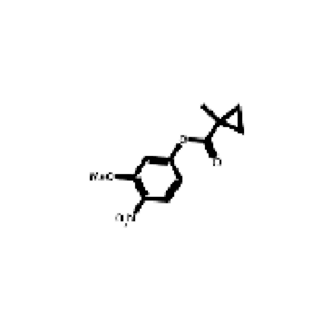 COc1cc(OC(=O)C2(C)CC2)ccc1[N+](=O)[O-]